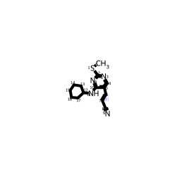 CSc1ncc(/C=C/C#N)c(NC2CCCCC2)n1